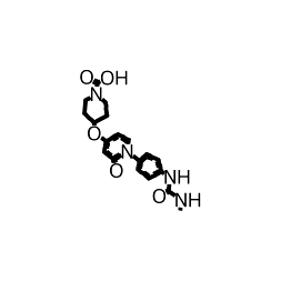 CNC(=O)Nc1ccc(-n2ccc(OC3CCN(C(=O)O)CC3)cc2=O)cc1